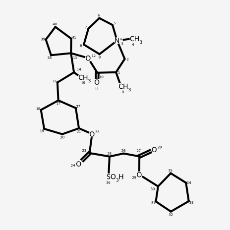 CC(C[N+]1(C)CCCCC1)C(=O)OC1(C(C)CC2CCCC(OC(=O)C(CC(=O)OC3CCCCC3)S(=O)(=O)O)C2)CCCC1